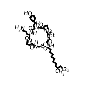 CCC(C)CC(C)CCCCCCCCC(=O)N[C@H]1CCCNC(=O)C2CCCN2C(=O)C(CCCN)NC(=O)C(CCc2ccc(O)cc2)NC(=O)C2CCCN2C(=O)C(CC)NC1=O